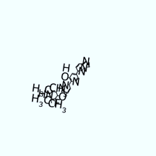 CC1(C)C[C@@H](Oc2ccc(-c3ncc(-c4ccc5nccn5n4)cc3O)nn2)[C@@H](F)C(C)(C)N1